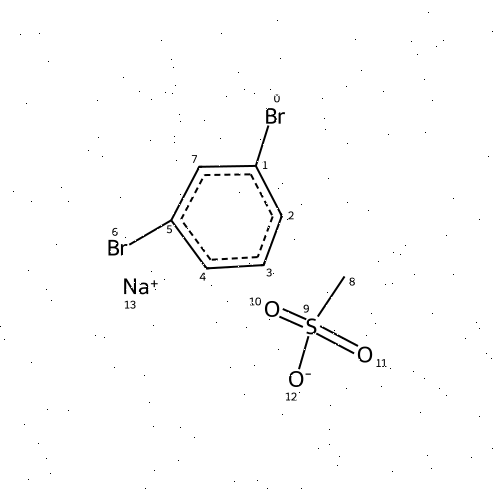 Brc1cccc(Br)c1.CS(=O)(=O)[O-].[Na+]